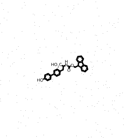 O=C(NC(Cc1ccc(-c2ccc(O)cc2)cc1)C(=O)O)OCC1c2ccccc2-c2ccccc21